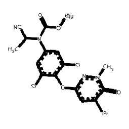 CC(C)c1cc(Oc2c(Cl)cc(N(C(=O)OC(C)(C)C)C(C)C#N)cc2Cl)nn(C)c1=O